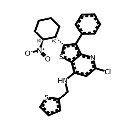 O=[N+]([O-])[C@H]1CCCC[C@@H]1c1sc2c(NCc3cccs3)cc(Cl)nc2c1-c1ccccc1